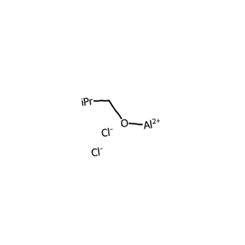 CC(C)C[O][Al+2].[Cl-].[Cl-]